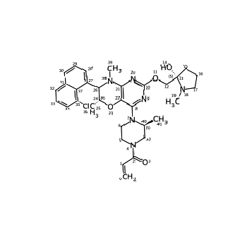 C=CC(=O)N1CCN(c2nc(OC[C@@]3(O)CCCN3C)nc3c2O[C@H](C)C(c2cccc4cccc(Cl)c24)N3C)[C@@H](C)C1